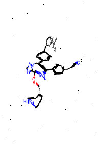 Cc1ccc(-c2c(-c3ccc(C#N)cc3)nc(OC[C@@H]3CCNC3)c3ncnn23)cc1